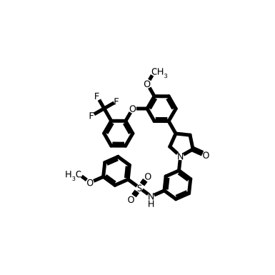 COc1cccc(S(=O)(=O)Nc2cccc(N3CC(c4ccc(OC)c(Oc5ccccc5C(F)(F)F)c4)CC3=O)c2)c1